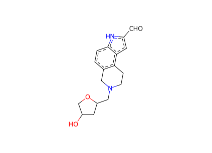 O=Cc1cc2c3c(ccc2[nH]1)CN(CC1CC(O)CO1)CC3